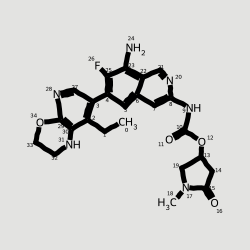 CCc1c(-c2cc3cc(NC(=O)OC4CC(=O)N(C)C4)ncc3c(N)c2F)cnc2c1NCCO2